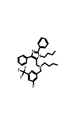 CCCCN(Cc1cc(F)cc(C(F)(F)F)c1)Cc1c(-c2ccccc2)nc(-c2ccccc2)n1CCCC